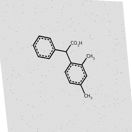 Cc1ccc(C(C(=O)O)c2cc[c]cc2)c(C)c1